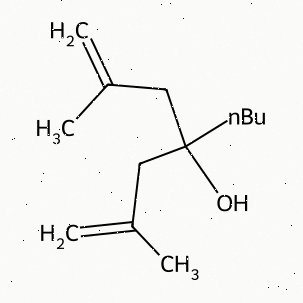 C=C(C)CC(O)(CCCC)CC(=C)C